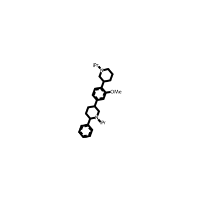 COc1cc(C2CCC(c3ccccc3)N(C(C)C)C2)ccc1C1CCCN(C(C)C)C1